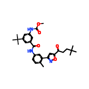 COC(=O)Nc1cc(C(=O)Nc2ccc(C)c(-c3cc(C(=O)CCC(C)(C)C)on3)c2)cc(C(C)(C)C)c1